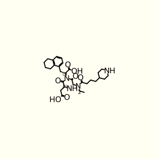 CCN(CC(=O)N(C(=O)[C@@H](N)CC(=O)O)[C@@H](Cc1cccc2c1CCCC2)C(=O)O)C(=O)CCCC1CCNCC1